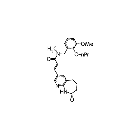 CCCOc1c(CN(C)C(=O)C=Cc2cnc3c(c2)CCCC(=O)N3)cccc1OC